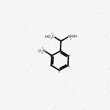 CC(=O)NC(C(=O)O)c1ccccc1[N+](=O)[O-]